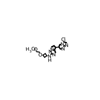 COCCO[C@H]1C[C@H](Nc2ncc3c(-c4cnc5ncc(Cl)n5c4)ccn3n2)C1